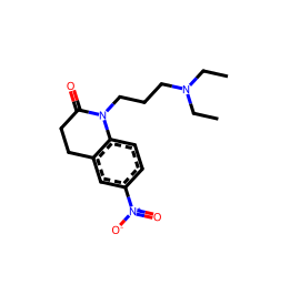 CCN(CC)CCCN1C(=O)CCc2cc([N+](=O)[O-])ccc21